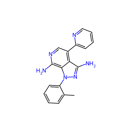 Cc1ccccc1-n1nc(N)c2c(-c3ccccn3)cnc(N)c21